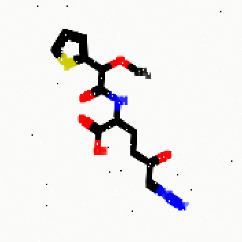 COC(C(=O)NC(CCC(=O)C=[N+]=[N-])C(=O)O)c1cccs1